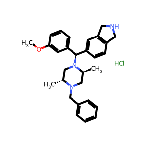 COc1cccc([C@@H](c2ccc3c(c2)CNC3)N2C[C@@H](C)N(Cc3ccccc3)C[C@@H]2C)c1.Cl